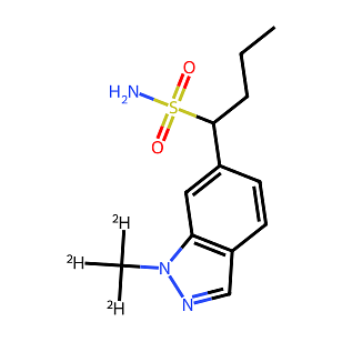 [2H]C([2H])([2H])n1ncc2ccc(C(CCC)S(N)(=O)=O)cc21